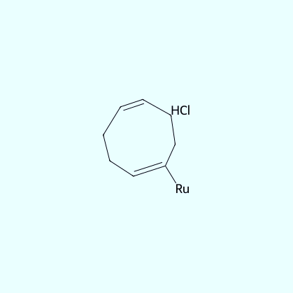 Cl.[Ru][C]1=CCCC=CCC1